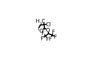 CC(Cl)(CI)C(=O)OC(C(F)(F)F)C(F)(F)F